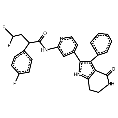 O=C1NCCc2[nH]c(-c3ccnc(NC(=O)C(CC(F)F)c4ccc(F)cc4)c3)c(-c3ccccc3)c21